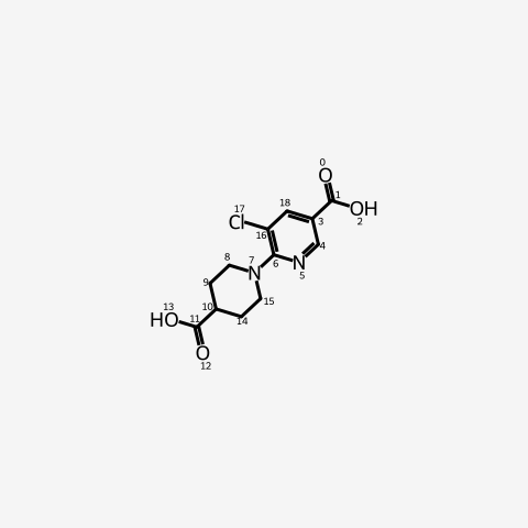 O=C(O)c1cnc(N2CCC(C(=O)O)CC2)c(Cl)c1